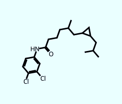 CC(C)CC1CC1CC(C)CCCC(=O)Nc1ccc(Cl)c(Cl)c1